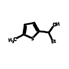 CCC(O)c1ccc(C)s1